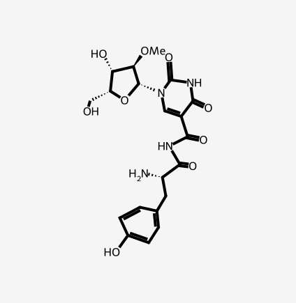 CO[C@@H]1[C@@H](O)[C@@H](CO)O[C@H]1n1cc(C(=O)NC(=O)[C@@H](N)Cc2ccc(O)cc2)c(=O)[nH]c1=O